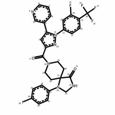 O=C(c1cc(-c2cccnc2)n(-c2ccc(C(F)(F)F)c(F)c2)n1)N1CCC2(CC1)C(=O)NCN2c1ccc(I)cc1